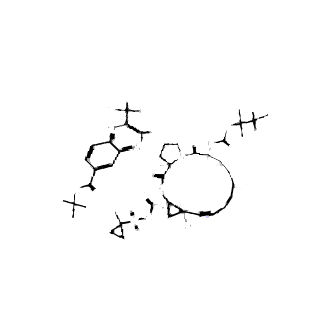 C[C@@H]1CC/C=C\[C@@H]2C[C@@]2(C(=O)NS(=O)(=O)C2(C)CC2)NC(=O)[C@@H]2C[C@@H](Oc3nc4cc(C(=O)OC(C)(C)C)ccc4nc3C(F)(F)F)CN2C(=O)[C@@H](NC(=O)OC(C)(C)C(C)(F)F)[C@H](C)C1